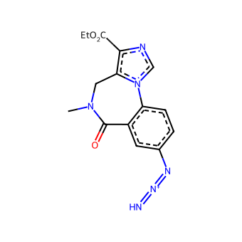 CCOC(=O)c1ncn2c1CN(C)C(=O)c1cc(N=[N+]=N)ccc1-2